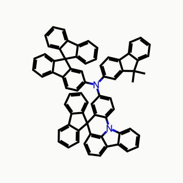 CC1(C)c2ccccc2-c2ccc(N(c3ccc4c(c3)C3(c5ccccc5-c5ccccc53)c3ccccc3-4)c3ccc4c(c3)C3(c5ccccc5-c5ccccc53)c3cccc5c6ccccc6n-4c35)cc21